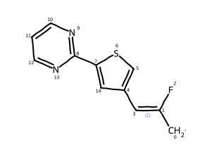 [CH2]/C(F)=C/c1csc(-c2ncccn2)c1